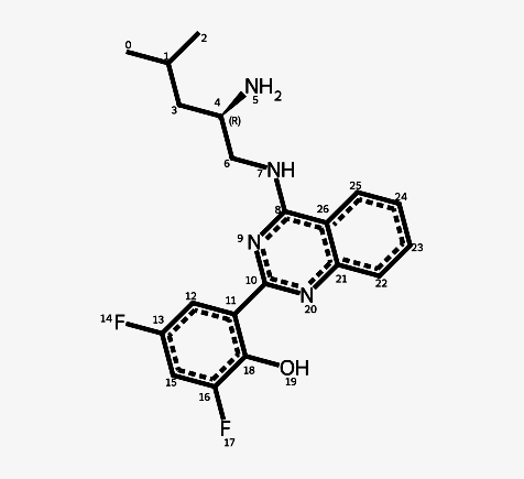 CC(C)C[C@@H](N)CNc1nc(-c2cc(F)cc(F)c2O)nc2ccccc12